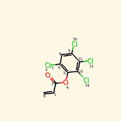 C=CC(=O)Oc1c(Cl)cc(Cl)c(Cl)c1Cl